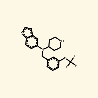 FC(F)(F)Oc1cccc(CN(c2ccc3sccc3c2)C2CCNCC2)c1